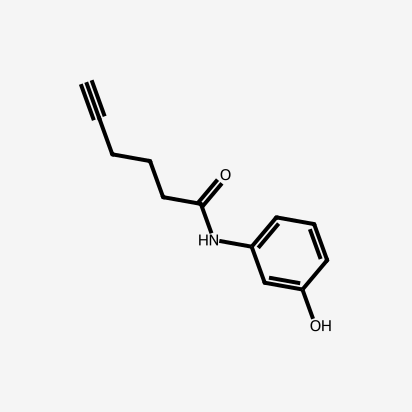 C#CCCCC(=O)Nc1cccc(O)c1